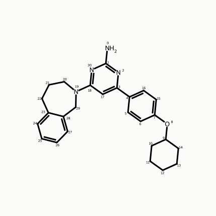 Nc1nc(-c2ccc(OC3CCCCC3)cc2)cc(N2CCCc3ccccc3C2)n1